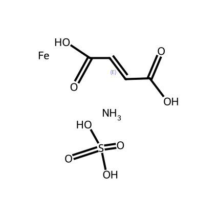 N.O=C(O)/C=C/C(=O)O.O=S(=O)(O)O.[Fe]